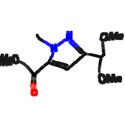 COC(=O)c1cc(C(OC)OC)nn1C